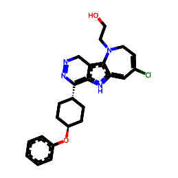 OCCN1CC=C(Cl)C=c2[nH]c3c(c21)CN=NC=3[C@H]1CC[C@H](Oc2ccccc2)CC1